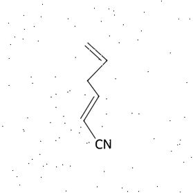 C=CCC=CC#N